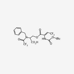 CC(C)(C)OC(=O)NC(=CC(F)(F)F)C(=O)OCC(C(=O)O)N(Cc1ccccc1)C(=O)C(F)(F)F